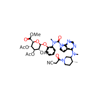 COC(=O)[C@H]1O[C@@H](Oc2ccccc2N(C)C(=O)n2ccc3c(N(C)C4CN(C(=O)CC#N)CC[C@H]4C)ncnc32)[C@H](OC(C)=O)[C@@H](OC(C)=O)[C@@H]1OC(C)=O